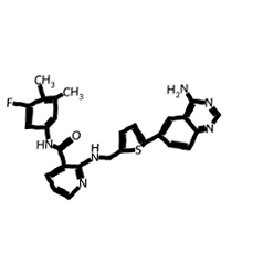 Cc1cc(NC(=O)c2cccnc2NCc2ccc(-c3ccc4ncnc(N)c4c3)s2)cc(F)c1C